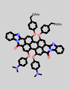 CNCc1ccc(Oc2cc3c4c(cc(Oc5ccc(N(C)C)cc5)c5c6c(Oc7ccc(N(C)C)cc7)cc7c(=O)n8c9ccccc9nc8c8cc(Oc9ccc(CNC)cc9)c(c2c54)c6c78)c(=O)n2c4ccccc4nc32)cc1